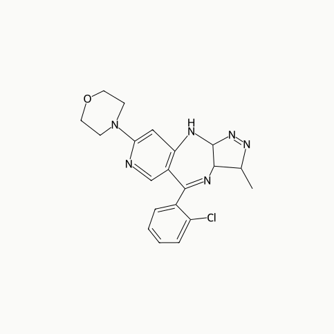 CC1N=NC2Nc3cc(N4CCOCC4)ncc3C(c3ccccc3Cl)=NC12